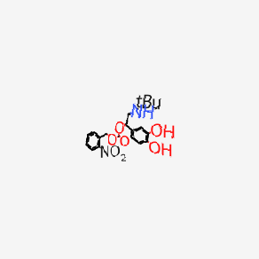 CC(C)(C)NCC(OC(=O)OCc1ccccc1[N+](=O)[O-])c1ccc(O)c(O)c1